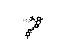 O=C(O)CC1(CSC2c3cc(/C=C/c4ccc5cc(F)c(Cl)cc5n4)ccc3OCc3c(F)cccc32)CC1